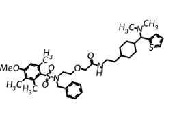 COc1cc(C)c(S(=O)(=O)N(CCOCC(=O)NCCC2CCC(C(c3cccs3)N(C)C)CC2)Cc2ccccc2)c(C)c1C